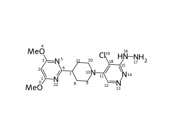 COc1cc(OC)nc(C2CCN(c3cnnc(NN)c3Cl)CC2)n1